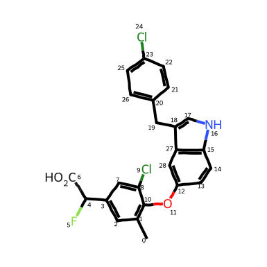 Cc1cc(C(F)C(=O)O)cc(Cl)c1Oc1ccc2[nH]cc(Cc3ccc(Cl)cc3)c2c1